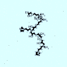 CCC(O)COCCC[Si](C)(C)O[Si](C)(C)CCCOCC(O)CN(CCCn1ccnc1)CC(O)COCC(C)(C)COCC(O)CN(C)CCCn1ccnc1